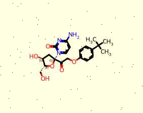 CC(C)(C)c1ccc(OCC(=O)[C@]2(n3ccc(N)nc3=O)C[C@H](O)[C@@H](CO)O2)cc1